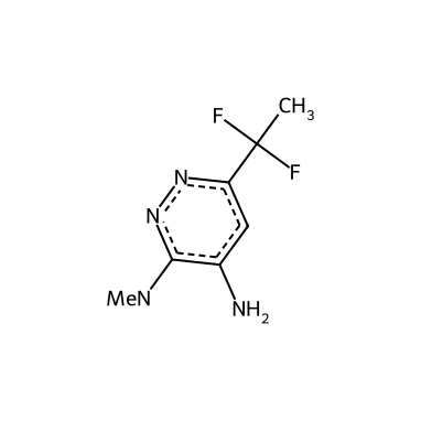 CNc1nnc(C(C)(F)F)cc1N